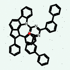 C1=C(c2ccccc2)C(c2ccccc2)c2c1ccc1c3ccccc3n(-c3nc(-c4cccc(-c5ccccc5)c4)nc(-c4cccc(-c5ccccc5)c4)n3)c21